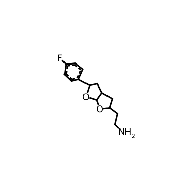 NCCC1CC2CC(c3ccc(F)cc3)OC2O1